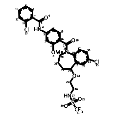 COc1cc(NC(=O)c2ccccc2Cl)ccc1C(=O)N1CCCC(OCCNS(=O)(=O)C(F)(F)F)c2cc(Cl)ccc21